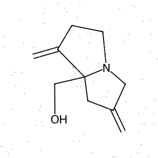 C=C1CN2CCC(=C)C2(CO)C1